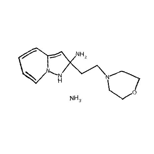 N.NC1(CCN2CCOCC2)C=C2C=CC=CN2N1